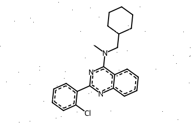 CN(CC1CCCCC1)c1nc(-c2ccccc2Cl)nc2ccccc12